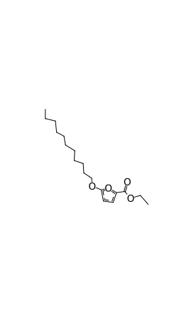 CCCCCCCCCCCOc1ccc(C(=O)OCC)o1